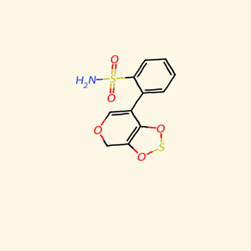 NS(=O)(=O)c1ccccc1C1=COCC2=C1OSO2